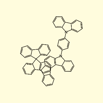 c1ccc(C2(c3ccccc3C3c4ccccc4-c4c3ccc3c4c4ccccc4n3-c3ccc(-n4c5ccccc5c5ccccc54)cc3)c3ccccc3-c3ccccc32)cc1